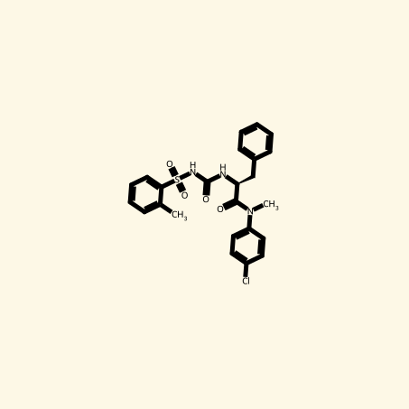 Cc1ccccc1S(=O)(=O)NC(=O)N[C@@H](Cc1ccccc1)C(=O)N(C)c1ccc(Cl)cc1